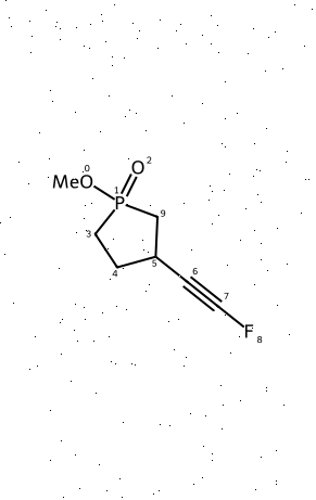 COP1(=O)CCC(C#CF)C1